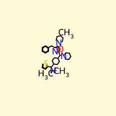 CC1CCN(c2oc(C(C3CCC(C(c4cccs4)N(C)C)CC3)N3CCCCC3)nc2Cc2ccccc2)CC1